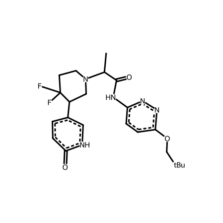 CC(C(=O)Nc1ccc(OCC(C)(C)C)nn1)N1CCC(F)(F)C(c2ccc(=O)[nH]c2)C1